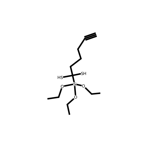 C#CCCCC(S)(S)[Si](OCC)(OCC)OCC